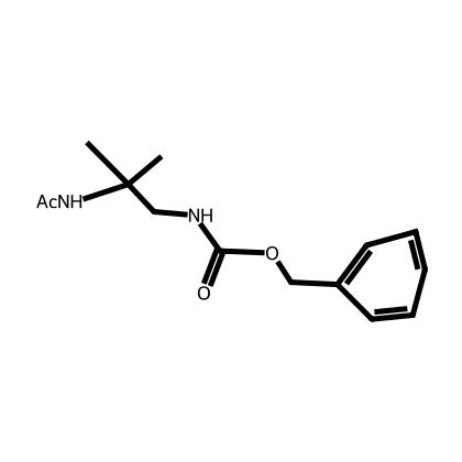 CC(=O)NC(C)(C)CNC(=O)OCc1ccccc1